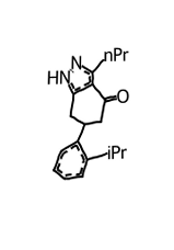 CCCc1n[nH]c2c1C(=O)CC(c1ccccc1C(C)C)C2